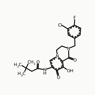 CC(C)(C)CC(=O)Nc1cn2c(c(O)c1=O)C(=O)N(Cc1ccc(F)c(Cl)c1)CC2